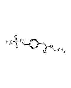 CCOC(=O)Cc1ccc(CNS(C)(=O)=O)cc1